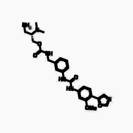 COc1cc(NC(=O)Nc2cccc(CNC(=O)OC[C@H](CN)N(C)C)c2)ccc1-c1cnco1